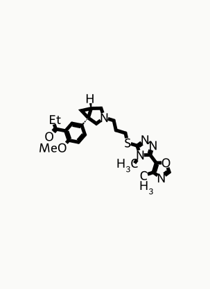 CCC(=O)c1cc([C@]23C[C@@H]2CN(CCCSc2nnc(-c4ocnc4C)n2C)C3)ccc1OC